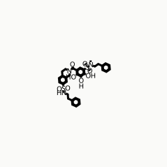 CN(CCc1ccccc1)S(=O)(=O)c1cc(C(=O)N2CCc3ccc(S(=O)(=O)NCCc4ccccc4)cc3C2)c(O)c(O)c1O